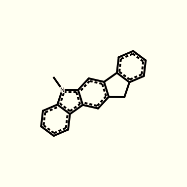 Cn1c2ccccc2c2cc3c(cc21)-c1ccccc1C3